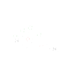 CCOC[C@]12C=C[C@H](O1)C(Cl)(Cl)C(Cl)=C2Cl